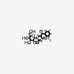 Nc1nc(=O)n([C@@H]2O[C@H](CO)[C@@H](O)[C@H](O)[C@H]2O)cc1C(=O)c1ccccc1